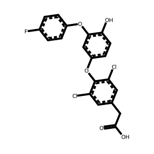 O=C(O)Cc1cc(Cl)c(Oc2ccc(O)c(Oc3ccc(F)cc3)c2)c(Cl)c1